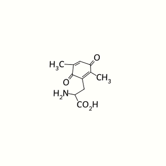 CC1=CC(=O)C(C)=C(CC(N)C(=O)O)C1=O